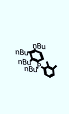 CCCCc1ccc(P(CCCC)c2cccc(C)c2C)c(CCCC)c1CCCC